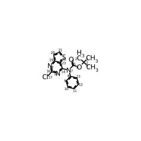 CC(C)(C)OC(=O)N(c1ccccc1)c1nc(Cl)nc2ccsc12